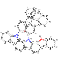 c1ccc(-c2ccc(-n3c4ccccc4c4ccc5c6ccc7c8ccccc8oc7c6n(-c6ccc7c(c6)-c6cccc8cccc-7c68)c5c43)cc2)cc1